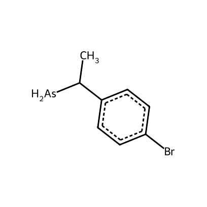 CC([AsH2])c1ccc(Br)cc1